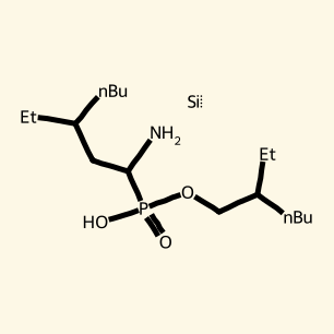 CCCCC(CC)COP(=O)(O)C(N)CC(CC)CCCC.[Si]